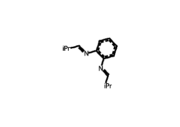 CC(C)C=Nc1ccccc1N=CC(C)C